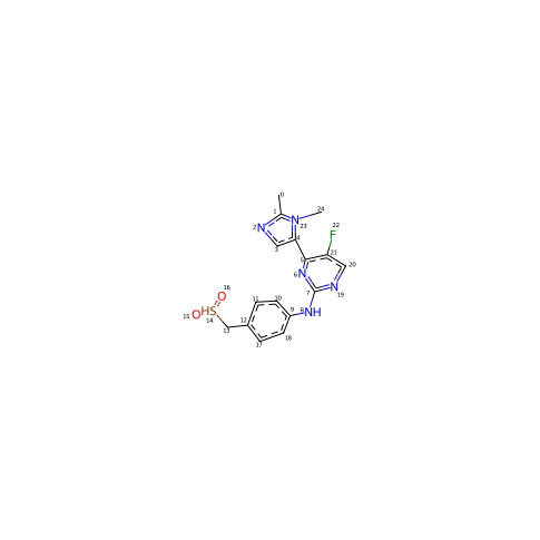 Cc1ncc(-c2nc(Nc3ccc(C[SH](=O)=O)cc3)ncc2F)n1C